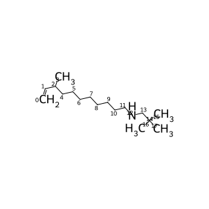 C=CC(C)CCCCCCCCNCC(C)(C)C